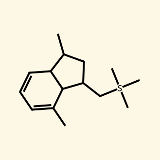 CC1=CC=CC2C(C)CC(CS(C)(C)C)C12